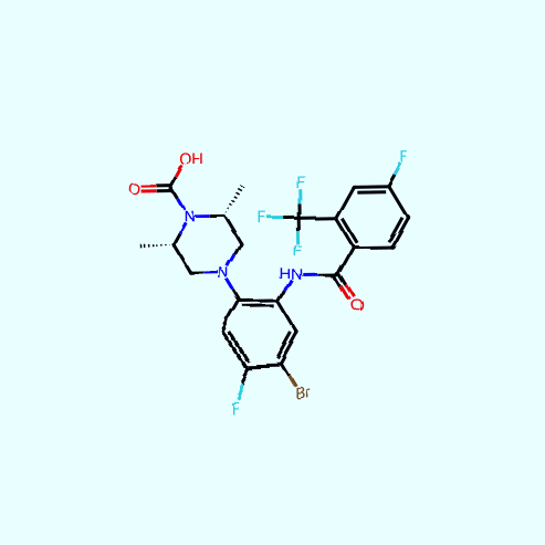 C[C@@H]1CN(c2cc(F)c(Br)cc2NC(=O)c2ccc(F)cc2C(F)(F)F)C[C@H](C)N1C(=O)O